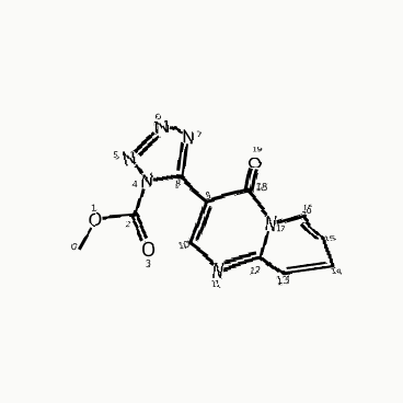 COC(=O)n1nnnc1-c1cnc2ccccn2c1=O